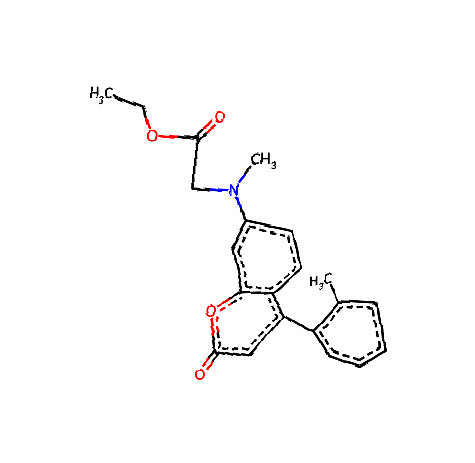 CCOC(=O)CN(C)c1ccc2c(-c3ccccc3C)cc(=O)oc2c1